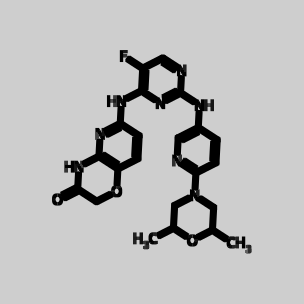 CC1CN(c2ccc(Nc3ncc(F)c(Nc4ccc5c(n4)NC(=O)CO5)n3)cn2)CC(C)O1